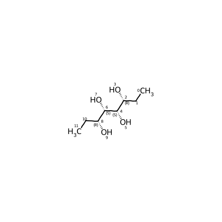 CC[C@@H](O)[C@H](O)[C@@H](O)[C@H](O)CC